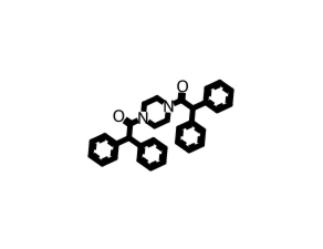 O=C(C(c1ccccc1)c1ccccc1)N1CCN(C(=O)C(c2ccccc2)c2ccccc2)CC1